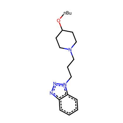 CCCCOC1CCN(CCCn2nnc3ccccc32)CC1